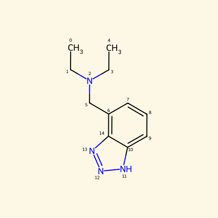 CCN(CC)Cc1cccc2[nH]nnc12